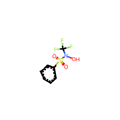 O=S(=O)(c1ccccc1)N(O)C(F)(F)F